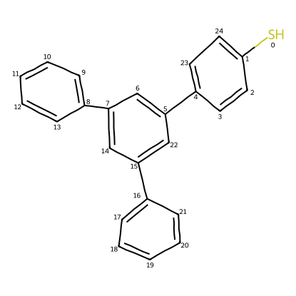 Sc1ccc(-c2cc(-c3ccccc3)cc(-c3ccccc3)c2)cc1